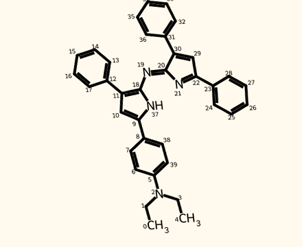 CCN(CC)c1ccc(-c2cc(-c3ccccc3)c(/N=C3\N=C(c4ccccc4)C=C3c3ccccc3)[nH]2)cc1